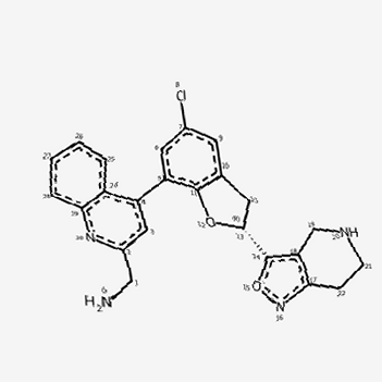 NCc1cc(-c2cc(Cl)cc3c2O[C@@H](c2onc4c2CNCC4)C3)c2ccccc2n1